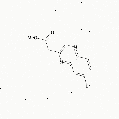 COC(=O)Cc1cnc2ccc(Br)cc2n1